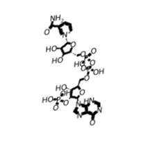 NC(=O)c1ccc[n+]([C@@H]2O[C@H](COP(=O)(O)OP(=O)(O)OC[C@H]3O[C@@H](n4cnc5c(=O)nc[nH]c54)[C@H](OP(=O)(O)O)[C@@H]3O)[C@@H](O)[C@H]2O)c1